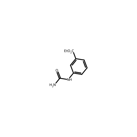 CCOC(=O)c1cccc(NC(N)=O)c1